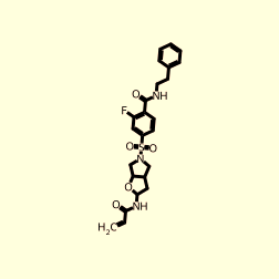 C=CC(=O)NC1CC2CN(S(=O)(=O)c3ccc(C(=O)NCCc4ccccc4)c(F)c3)CC2O1